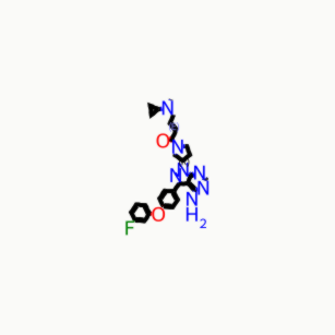 CN(C/C=C/C(=O)N1CC[C@@H](n2nc(-c3ccc(Oc4cccc(F)c4)cc3)c3c(N)ncnc32)C1)C1CC1